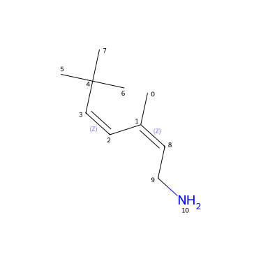 CC(/C=C\C(C)(C)C)=C/CN